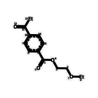 CCOCCOC(=O)c1ccc(C(=O)CC)cc1